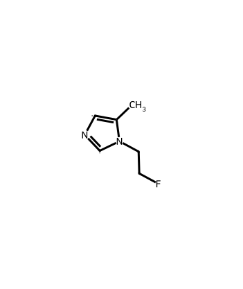 Cc1[c]n[c]n1CCF